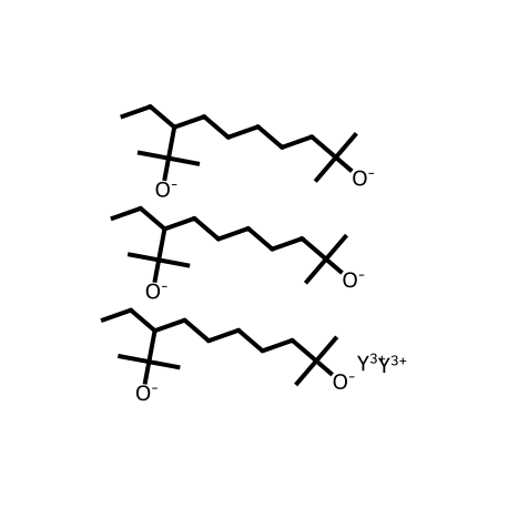 CCC(CCCCCC(C)(C)[O-])C(C)(C)[O-].CCC(CCCCCC(C)(C)[O-])C(C)(C)[O-].CCC(CCCCCC(C)(C)[O-])C(C)(C)[O-].[Y+3].[Y+3]